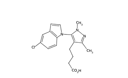 Cc1nn(C)c(-n2ccc3cc(Cl)ccc32)c1CCCC(=O)O